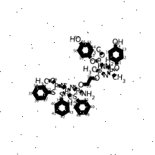 COP(N[PH](C)(N=P(C)(N)Oc1ccc(O)cc1)OCCOP(N)(=NP(C)(=NP(OC)Sc1ccccc1)Sc1ccccc1)Sc1ccccc1)Oc1ccc(O)cc1